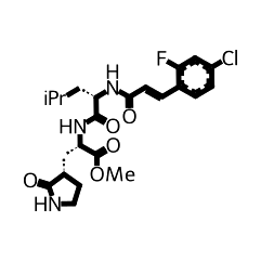 COC(=O)[C@H](C[C@@H]1CCNC1=O)NC(=O)[C@H](CC(C)C)NC(=O)/C=C/c1ccc(Cl)cc1F